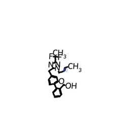 C/C=C/Cn1nc(C(C)(F)F)nc1Cc1ccc(-c2ccccc2C(=O)O)cc1